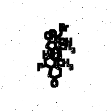 CC1C[C@H]2[C@@H]3CC(F)C4=CC(=O)CC[C@]4(C)C3=CC[C@]2(C)[C@@]1(O)C(=O)CBr